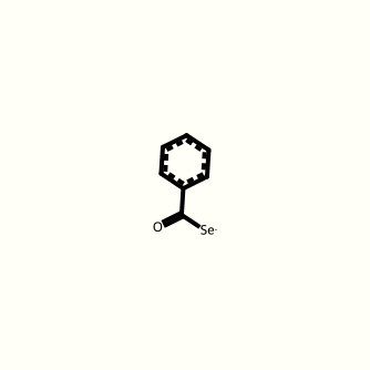 O=C([Se])c1ccccc1